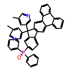 Cc1cncc(C2(c3cncc(C)c3)c3cc(P(=O)(c4ccccc4)c4ccccc4)ccc3-c3cc4c5ccccc5c5ccccc5c4cc32)c1